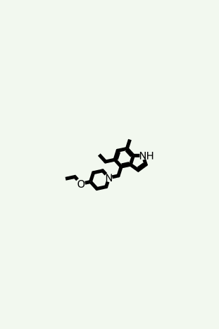 CCOC1CCN(Cc2c(CC)cc(C)c3[nH]ccc23)CC1